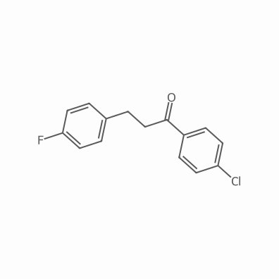 O=C(CCc1ccc(F)cc1)c1ccc(Cl)cc1